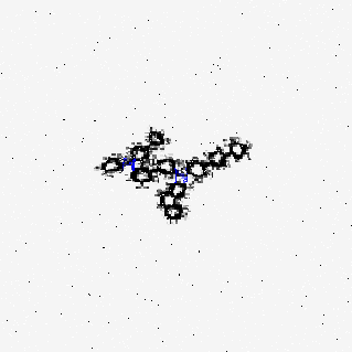 c1ccc(-c2ccc(-c3ccc(N(c4cccc(-c5cccc6c5c5cc(-c7ccccc7)ccc5n6-c5ccccc5)c4)c4ccc5c(ccc6ccccc65)c4)cc3)cc2)cc1